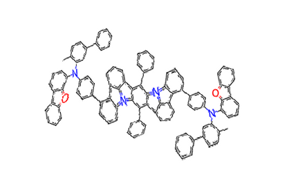 Cc1ccc(-c2ccccc2)cc1N(c1ccc(-c2cccc3c2c2cccc4c5c(-c6ccccc6)c6c(c(-c7ccccc7)c5n3c24)c2cccc3c4c(-c5ccc(N(c7cc(-c8ccccc8)ccc7C)c7cccc8c7oc7ccccc78)cc5)cccc4n6c32)cc1)c1cccc2c1oc1ccccc12